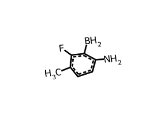 Bc1c(N)ccc(C)c1F